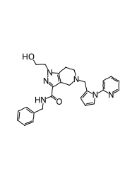 O=C(NCc1ccccc1)c1nn(CCO)c2c1CN(Cc1cccn1-c1ccccn1)CC2